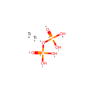 O=P(O)(O)OP(=O)(O)O.[Ti].[Ti]